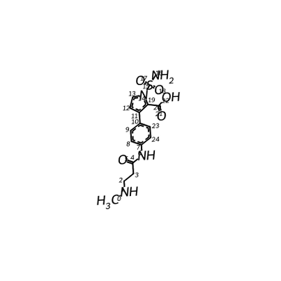 CNCCC(=O)Nc1ccc(-c2ccn(S(N)(=O)=O)c2C(=O)O)cc1